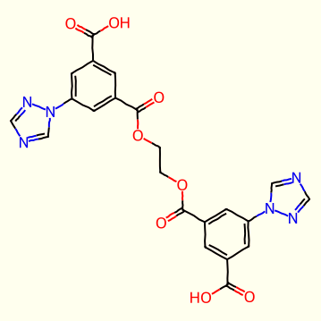 O=C(O)c1cc(C(=O)OCCOC(=O)c2cc(C(=O)O)cc(-n3cncn3)c2)cc(-n2cncn2)c1